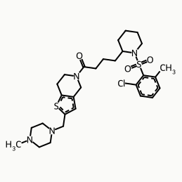 Cc1cccc(Cl)c1S(=O)(=O)N1CCCCC1CCCC(=O)N1CCc2sc(CN3CCN(C)CC3)cc2C1